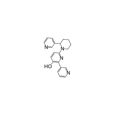 Oc1ccc(N2CCCCC2c2cccnc2)nc1-c1cccnc1